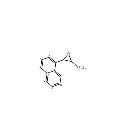 CCOC(=O)C1OC1c1cccc2ccccc12